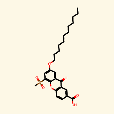 CCCCCCCCCCCCOc1cc(S(C)(=O)=O)c2oc3ccc(C(=O)O)cc3c(=O)c2c1